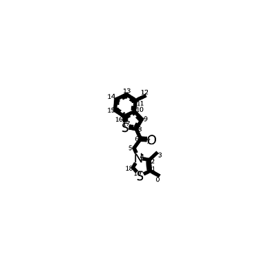 CC1=C(C)N(CC(=O)c2cc3c(C)cccc3s2)CS1